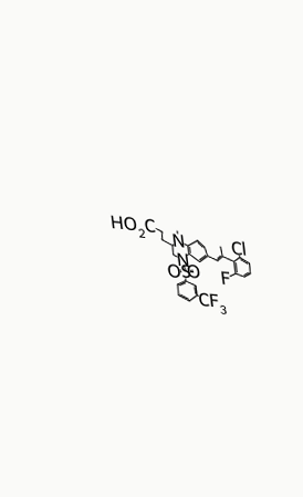 C/C(=C\c1ccc2c(c1)N(S(=O)(=O)c1cccc(C(F)(F)F)c1)CC(CCC(=O)O)N2C)c1c(F)cccc1Cl